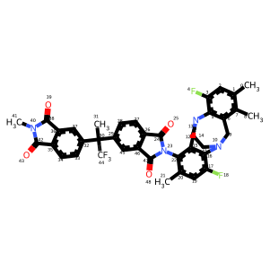 Cc1cc(F)c2c(c1C)CN1CCN2Cc2c1c(F)cc(C)c2N1C(=O)c2ccc(C(C)(c3ccc4c(c3)C(=O)N(C)C4=O)C(F)(F)F)cc2C1=O